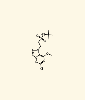 COc1nc(Cl)nc2cnn(CCS(=O)(=O)NC(C)(C)C)c12